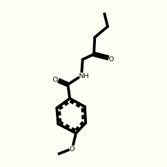 CCCC(=O)CNC(=O)c1ccc(OC)cc1